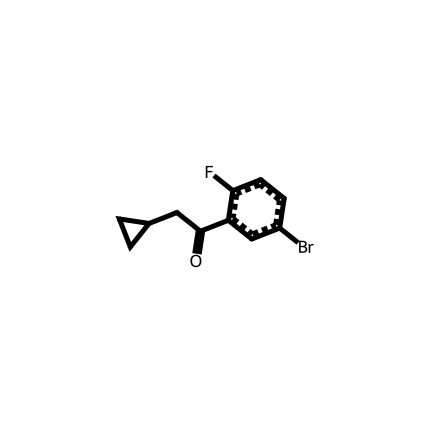 O=C(CC1CC1)c1cc(Br)ccc1F